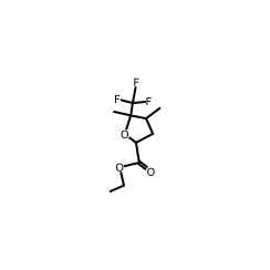 CCOC(=O)C1CC(C)C(C)(C(F)(F)F)O1